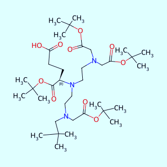 CC(C)(C)CN(CCN(CCN(CC(=O)OC(C)(C)C)CC(=O)OC(C)(C)C)[C@H](CCC(=O)O)C(=O)OC(C)(C)C)CC(=O)OC(C)(C)C